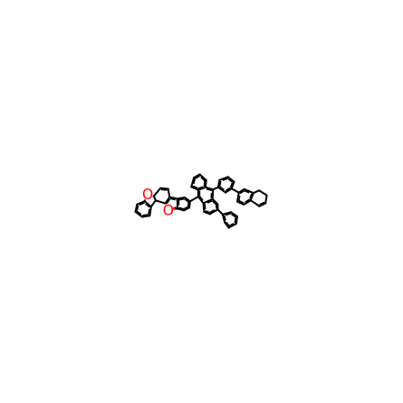 C1=Cc2ccc(-c3cccc(-c4c5ccccc5c(-c5ccc6oc7c(c6c5)C=CC5Oc6ccccc6C75)c5ccc(-c6ccccc6)cc45)c3)cc2CC1